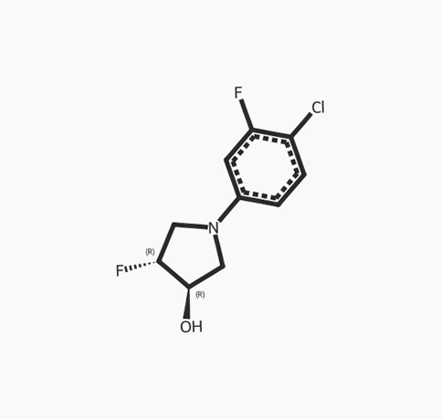 O[C@@H]1CN(c2ccc(Cl)c(F)c2)C[C@H]1F